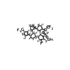 Cc1nc(C(F)(F)F)cn1-c1ccc(-c2cc(F)c(CO)c(S(C)(=O)=O)c2)cc1-c1ccnn1-c1ccc(OC(F)(F)F)cc1